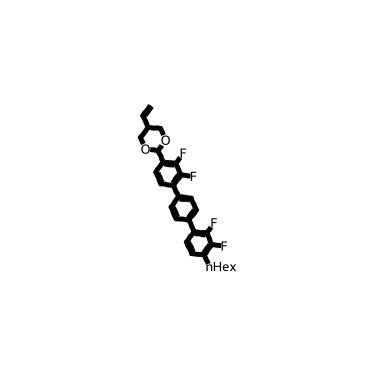 C=CC1COC(c2ccc(-c3ccc(-c4ccc(CCCCCC)c(F)c4F)cc3)c(F)c2F)OC1